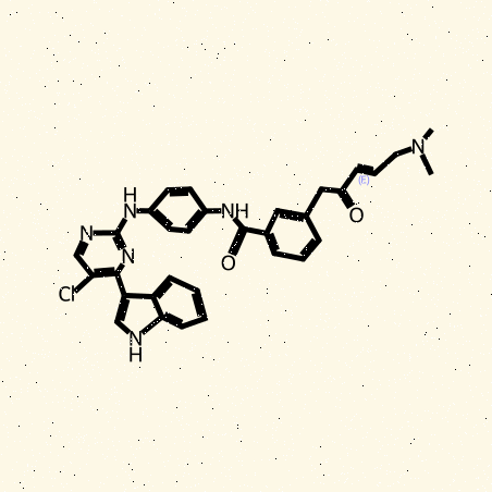 CN(C)C/C=C/C(=O)Cc1cccc(C(=O)Nc2ccc(Nc3ncc(Cl)c(-c4c[nH]c5ccccc45)n3)cc2)c1